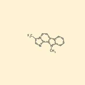 Cn1c2ccccc2c2ccn3c(C(F)(F)F)cnc3c21